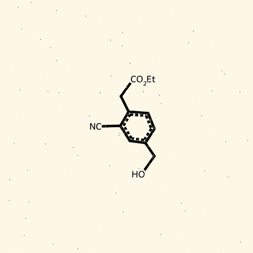 CCOC(=O)Cc1ccc(CO)cc1C#N